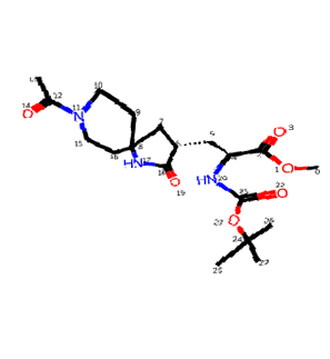 COC(=O)[C@H](C[C@H]1CC2(CCN(C(C)=O)CC2)NC1=O)NC(=O)OC(C)(C)C